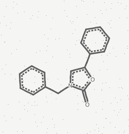 O=c1oc(-c2ccccc2)cn1Cc1ccccc1